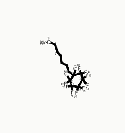 COCCCCCCC1(F)C(F)(F)C(F)(F)C(F)(F)C(F)(F)C1(F)F